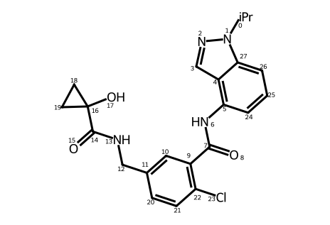 CC(C)n1ncc2c(NC(=O)c3cc(CNC(=O)C4(O)CC4)ccc3Cl)cccc21